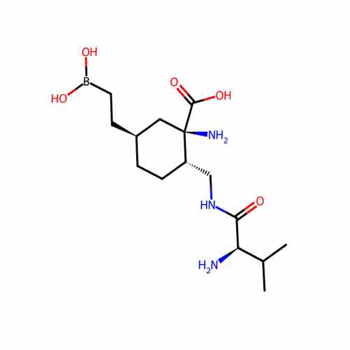 CC(C)[C@@H](N)C(=O)NC[C@@H]1CC[C@@H](CCB(O)O)C[C@]1(N)C(=O)O